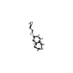 O=CCOc1[c]c2ccccc2cc1